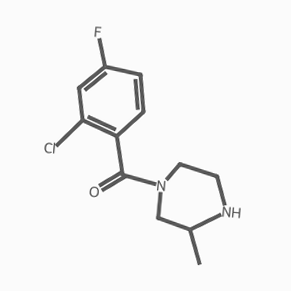 CC1CN(C(=O)c2ccc(F)cc2Cl)CCN1